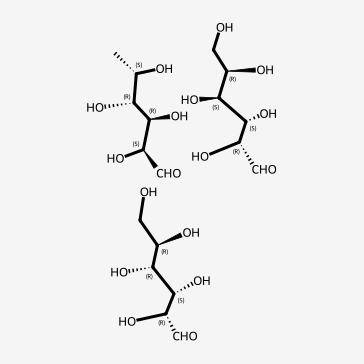 C[C@H](O)[C@@H](O)[C@@H](O)[C@H](O)C=O.O=C[C@H](O)[C@@H](O)[C@@H](O)[C@H](O)CO.O=C[C@H](O)[C@@H](O)[C@H](O)[C@H](O)CO